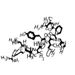 CC[C@H](C)[C@H](NC(=O)[C@H](Cc1ccc(O)cc1)NC(=O)[C@@H](NC(=O)[C@H](CCCNC(=N)N)NC(=O)CNC)C(C)C)C(=O)N[C@@H](Cc1c[nH]cn1)C(=O)N1CCC[C@H]1C(=O)N[C@@H](C)C(=O)OC